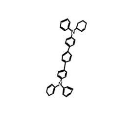 C1=CC(N(c2ccccc2)c2ccc(-c3ccc(-c4ccc(N(c5ccccc5)C5C=CCCC5)cc4)cc3)cc2)=CCC1